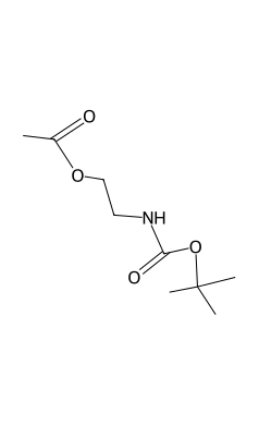 CC(=O)OCCNC(=O)OC(C)(C)C